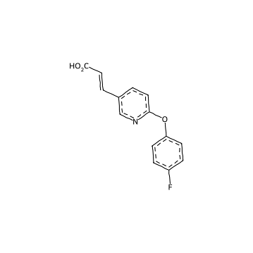 O=C(O)C=Cc1ccc(Oc2ccc(F)cc2)nc1